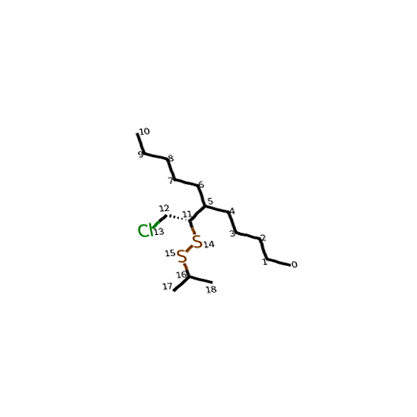 CCCCCC(CCCCC)[C@@H](CCl)SSC(C)C